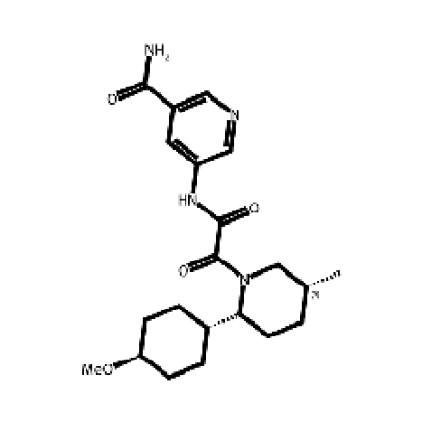 CO[C@H]1CC[C@H](C2CC[C@@H](C)CN2C(=O)C(=O)Nc2cncc(C(N)=O)c2)CC1